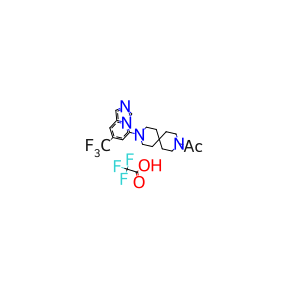 CC(=O)N1CCC2(CC1)CCN(c1cc(C(F)(F)F)cc3cncn13)CC2.O=C(O)C(F)(F)F